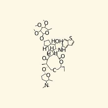 CC[C@H]1CCC[C@H](O[C@H]2CC[C@H](N(C)C)C(C)O2)[C@@H](C)C(=O)C2=C[C@H]3[C@@H]4C[C@H](O[C@@H]5OC(C)[C@H](OC)C(OC)C5OC)C[C@H]4[C@@H](O)[C@H](Nc4ccc5sccc5c4)[C@H]3[C@@H]2CC(=O)O1